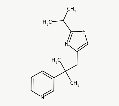 CC(C)c1nc(CC(C)(C)c2cccnc2)cs1